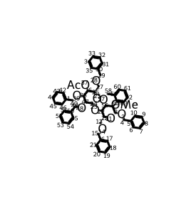 CO[C@H]1[C@@H](OCc2ccccc2)O[C@H](COCc2ccccc2)[C@@H](O[C@@H]2O[C@H](COCc3ccccc3)[C@H](OC(C)=O)[C@H](OCc3ccccc3)[C@H]2OCc2ccccc2)[C@@H]1OCc1ccccc1